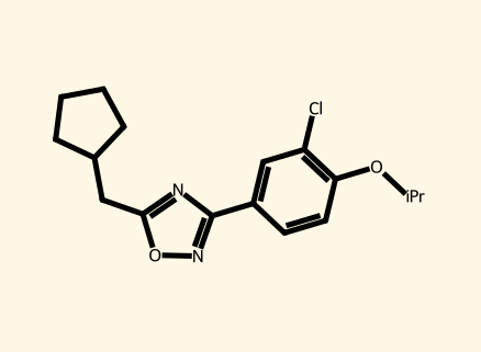 CC(C)Oc1ccc(-c2noc(CC3CCCC3)n2)cc1Cl